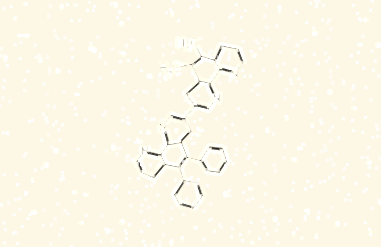 Cc1c(C)c2cc(-c3cnc4c(c3)c(-c3ccccc3)c(-c3ccccc3)c3cccnc34)cnc2c2ncccc12